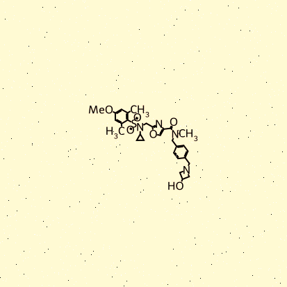 COc1cc(C)c(S(=O)(=O)N(Cc2nc(C(=O)N(C)Cc3ccc(CN4CC(O)C4)cc3)co2)C2CC2)c(C)c1